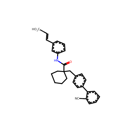 N#Cc1ccccc1-c1ccc(CC2(C(=O)Nc3cccc(/C=C/C(=O)O)c3)CCCCC2)cc1